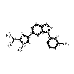 Cc1cccc(-n2ncc3ccc(-c4cn(C)c(C(C)N)n4)cc32)n1